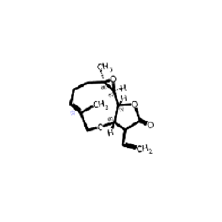 C=CC1C(=O)O[C@H]2[C@H]1CC/C(C)=C/CC[C@@]1(C)O[C@@H]21